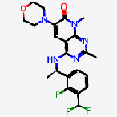 Cc1nc(N[C@H](C)c2cccc(C(F)F)c2F)c2cc(N3CCOCC3)c(=O)n(C)c2n1